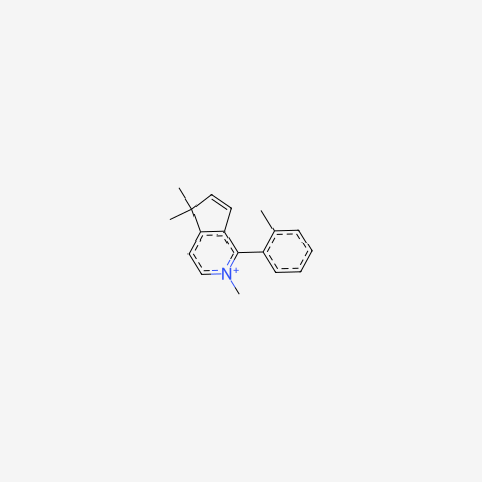 Cc1ccccc1-c1c2c(cc[n+]1C)C(C)(C)C=C2